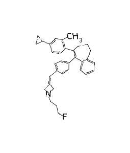 Cc1cc(C2CC2)ccc1C1=C(c2ccc(C=C3CN(CCCF)C3)cc2)c2ccccc2CCC1